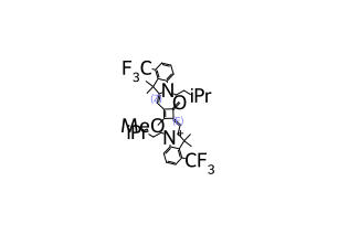 COC1=C(/C=C2\N(CCC(C)C)c3cccc(C(F)(F)F)c3C2(C)C)C(=O)/C1=C/C1=[N+](CCC(C)C)c2cccc(C(F)(F)F)c2C1(C)C